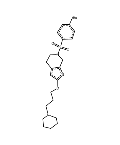 CC(C)(C)c1ccc(S(=O)(=O)N2CCc3cc(OCCCN4CCCCC4)sc3C2)cc1